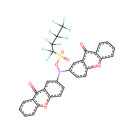 O=c1c2ccccc2oc2ccc([I+](OS(=O)(=O)C(F)(F)C(F)(F)C(F)(F)C(F)(F)F)c3ccc4oc5ccccc5c(=O)c4c3)cc12